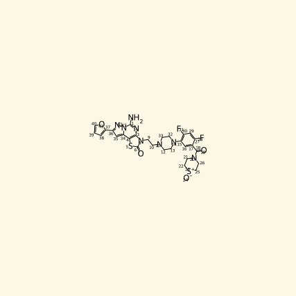 Nc1nc2c(sc(=O)n2CCN2CCN(c3cc(C(=O)N4CC[S+]([O-])CC4)c(F)cc3F)CC2)c2cc(-c3ccco3)nn12